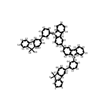 CC1(C)c2ccccc2-c2cc(-c3cccc(-n4c5ccccc5c5cc(-c6ccc7c(c6)c6ccccc6n7-c6cccc(-c7ccc8c(c7)-c7ccccc7C8(C)C)c6)ccc54)c3)ccc21